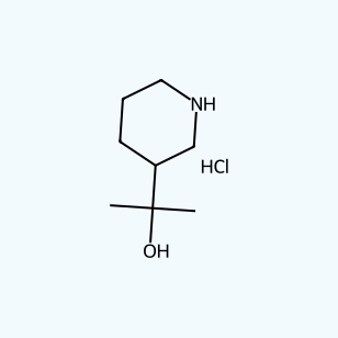 CC(C)(O)C1CCCNC1.Cl